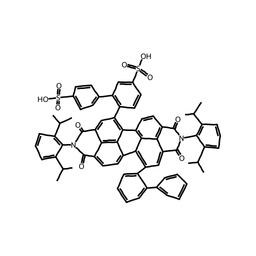 CC(C)c1cccc(C(C)C)c1N1C(=O)c2ccc3c4c(-c5ccc(S(=O)(=O)O)cc5-c5ccc(S(=O)(=O)O)cc5)cc5c6c(ccc(c7c(-c8ccccc8-c8ccccc8)cc(c2c37)C1=O)c64)C(=O)N(c1c(C(C)C)cccc1C(C)C)C5=O